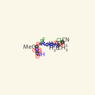 COc1cc(OC2CC(N(CC(F)F)CC3CCN(c4ccc(C(=O)NC5C(C)(C)C(Oc6ccc(C#N)c(Cl)c6)C5(C)C)cc4)CC3)C2)cc2c1C(=O)N([C@@H]1CCC(=O)NC1=O)C2=O